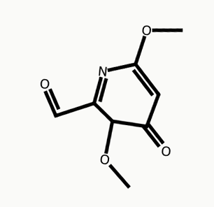 COC1=CC(=O)C(OC)C(C=O)=N1